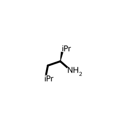 CC(C)C[C@H](N)C(C)C